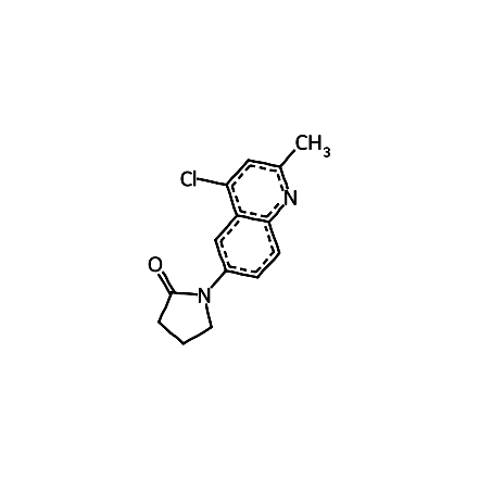 Cc1cc(Cl)c2cc(N3CCCC3=O)ccc2n1